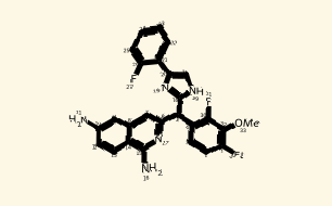 CCc1ccc(C(c2cc3cc(N)ccc3c(N)n2)c2nc(-c3ccccc3F)c[nH]2)c(F)c1OC